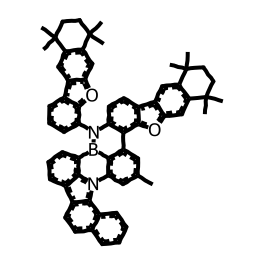 Cc1cc2c3c(c1)-n1c4c(cccc4c4ccc5ccccc5c41)B3N(c1cccc3c1oc1cc4c(cc13)C(C)(C)CCC4(C)C)c1ccc3c(oc4cc5c(cc43)C(C)(C)CCC5(C)C)c1-2